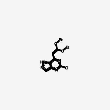 CCOC(=Cc1nc(Cl)nc2cn[nH]c12)OCC